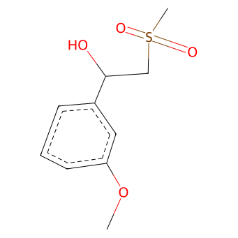 COc1cccc(C(O)CS(C)(=O)=O)c1